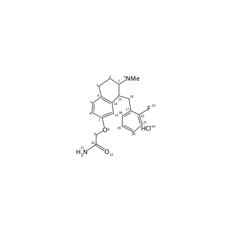 CNC1CCc2ccc(OCC(N)=O)cc2C1Cc1ccccc1F.Cl